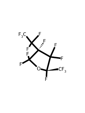 FC(F)(F)C(F)(F)[C@]1(F)C(F)(F)O[C@](F)(C(F)(F)F)C1(F)F